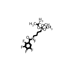 CO[Si](CCCCN(F)C(=O)c1cc(F)c(F)c(F)c1F)(OC)OC(C)C